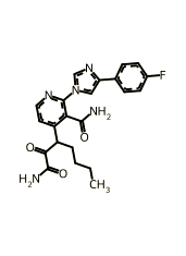 CCCCC(C(=O)C(N)=O)c1ccnc(-n2cnc(-c3ccc(F)cc3)c2)c1C(N)=O